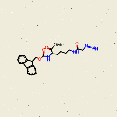 COC(=O)[C@H](CCCCNC(=O)CN=[N+]=[N-])NC(=O)OCC1c2ccccc2-c2ccccc21